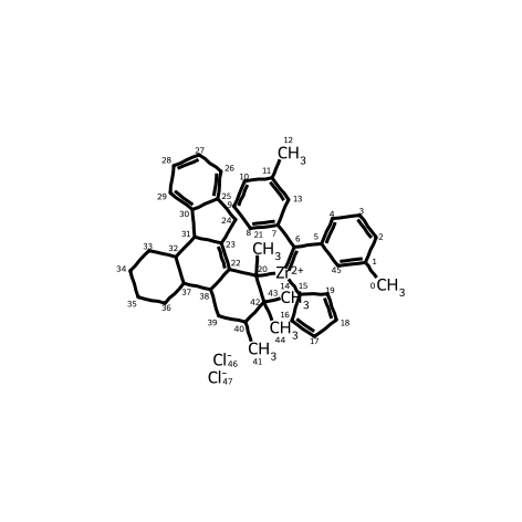 Cc1cccc([C](c2cccc(C)c2)=[Zr+2]([CH]2C=CC=C2)[C]2(C)C3=C4Cc5ccccc5C4C4CCCCC4C3CC(C)C2(C)C)c1.[Cl-].[Cl-]